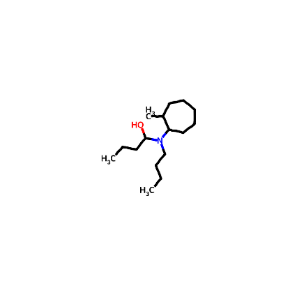 CCCCN(C(O)CCC)C1CCCCCC1C